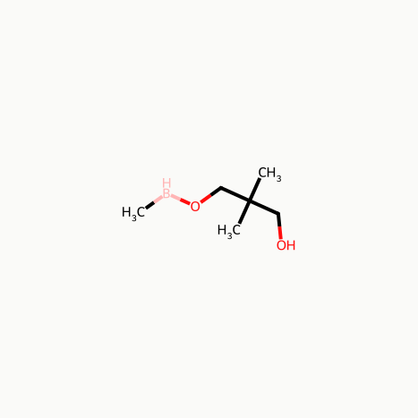 CBOCC(C)(C)CO